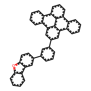 c1cc(-c2ccc3oc4ccccc4c3c2)cc(-c2cc3c4ccccc4c4cccc5c6ccccc6c(c2)c3c45)c1